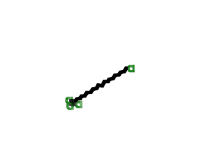 ClCCCCCCCCCCCCCCCCCCC[Si](Cl)(Cl)Cl